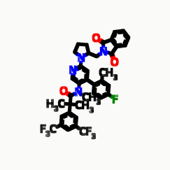 Cc1cc(F)ccc1-c1cc(N2CCCC2CN2C(=O)c3ccccc3C2=O)ncc1N(C)C(=O)C(C)(C)c1cc(C(F)(F)F)cc(C(F)(F)F)c1